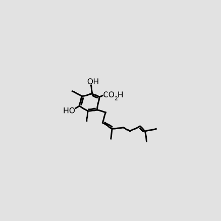 CC(C)=CCCC(C)=CCc1c(C)c(O)c(C)c(O)c1C(=O)O